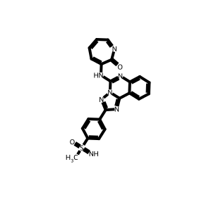 CS(=N)(=O)c1ccc(-c2nc3c4ccccc4nc(Nc4ccccnc4=O)n3n2)cc1